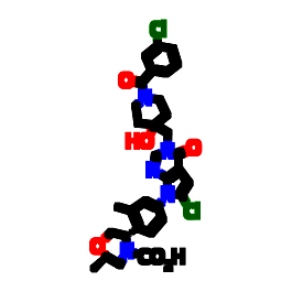 Cc1cc(-n2c(Cl)cc3c(=O)n(CC4(O)CCN(C(=O)c5cccc(Cl)c5)CC4)cnc32)ccc1[C@H]1CO[C@H](C)CN1C(=O)O